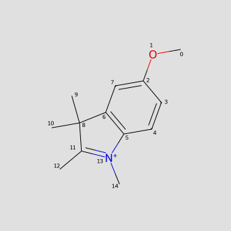 COc1ccc2c(c1)C(C)(C)C(C)=[N+]2C